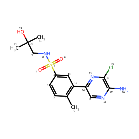 Cc1ccc(S(=O)(=O)NCC(C)(C)O)cc1-c1cnc(N)c(Cl)n1